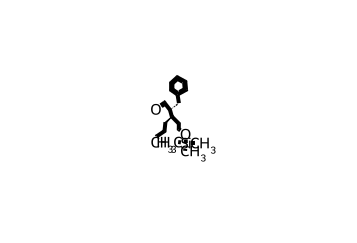 CCCC[C@H](CCO[Si](C)(C)C)[C@H](C=O)Cc1ccccc1